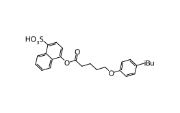 CCC(C)c1ccc(OCCCCC(=O)Oc2ccc(S(=O)(=O)O)c3ccccc23)cc1